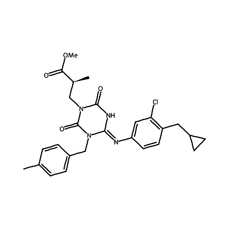 COC(=O)[C@@H](C)Cn1c(=O)[nH]/c(=N\c2ccc(CC3CC3)c(Cl)c2)n(Cc2ccc(C)cc2)c1=O